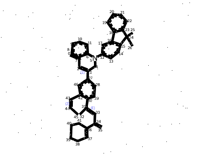 C=C/C=C(\CN(c1ccccc1)c1ccc2c(c1)-c1ccccc1C2(C)C)c1ccc(/C(C)=C/C(=C)C2=CCCCC2)c(/C=C\C)c1